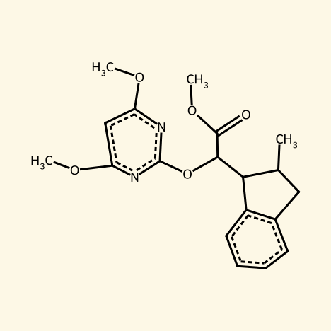 COC(=O)C(Oc1nc(OC)cc(OC)n1)C1c2ccccc2CC1C